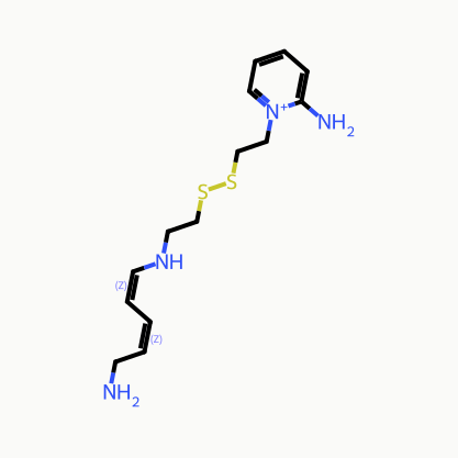 NC/C=C\C=C/NCCSSCC[n+]1ccccc1N